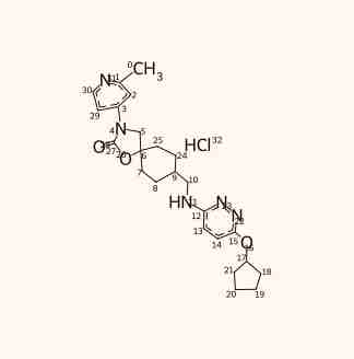 Cc1cc(N2CC3(CCC(CNc4ccc(OC5CCCC5)nn4)CC3)OC2=O)ccn1.Cl